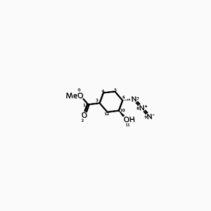 COC(=O)C1CC[C@H](N=[N+]=[N-])[C@@H](O)C1